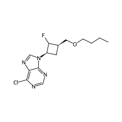 CCCCOC[C@H]1C[C@@H](n2cnc3c(Cl)ncnc32)C1F